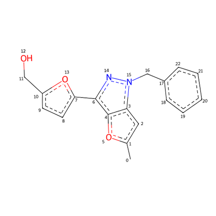 Cc1cc2c(o1)c(-c1ccc(CO)o1)nn2Cc1ccccc1